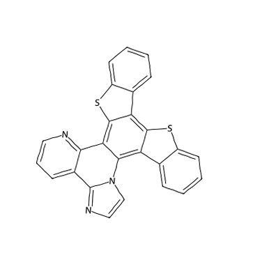 c1ccc2c(c1)sc1c2c2sc3ccccc3c2c2c1c1ncccc1c1nccn12